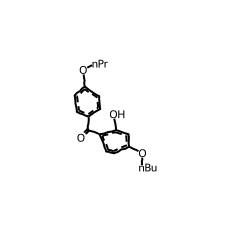 CCCCOc1ccc(C(=O)c2ccc(OCCC)cc2)c(O)c1